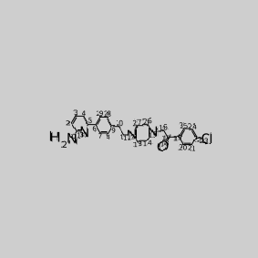 Nc1cccc(-c2ccc(CCN3CCN(CC(=O)c4ccc(Cl)cc4)CC3)cc2)n1